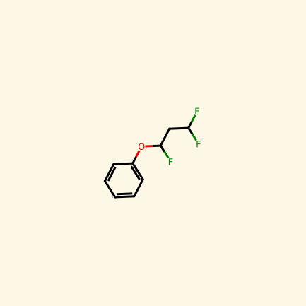 FC(F)CC(F)Oc1cc[c]cc1